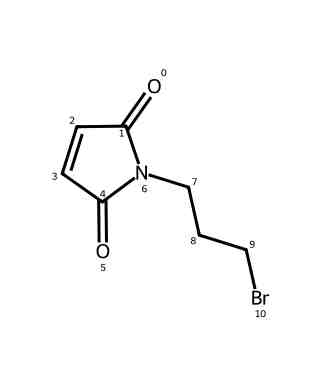 O=C1C=CC(=O)N1CCCBr